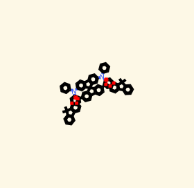 CC1(C)c2ccccc2-c2ccc(C(=O)c3ccc4c(c3)C3(c5cc(C(=O)c6ccc7c(c6)C(C)(C)c6ccccc6-7)ccc5-4)c4cc(N(c5ccccc5)c5ccccc5)ccc4-c4ccc(N(c5ccccc5)c5ccccc5)cc43)cc21